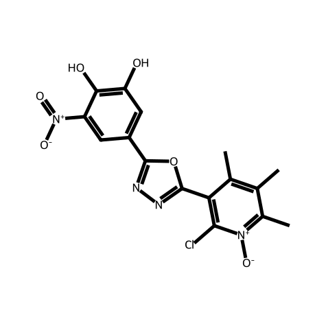 Cc1c(C)c(C)[n+]([O-])c(Cl)c1-c1nnc(-c2cc(O)c(O)c([N+](=O)[O-])c2)o1